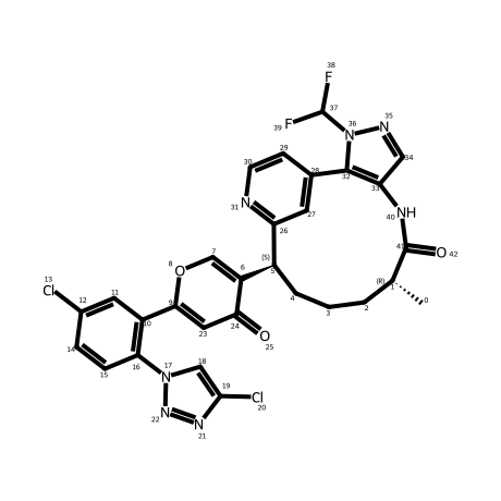 C[C@@H]1CCC[C@@H](c2coc(-c3cc(Cl)ccc3-n3cc(Cl)nn3)cc2=O)c2cc(ccn2)-c2c(cnn2C(F)F)NC1=O